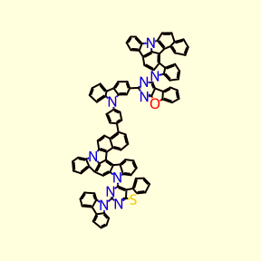 c1ccc2c(c1)ccc1c2c2c3c4ccccc4n(-c4nc(-c5ccc6c7ccccc7n(-c7ccc(-c8cccc9c8ccc8c9c9c%10c%11ccccc%11n(-c%11nc(-n%12c%13ccccc%13c%13ccccc%13%12)nc%12sc%13ccccc%13c%11%12)c%10cc%10c%11ccccc%11n8c%109)cc7)c6c5)nc5oc6ccccc6c45)c3cc3c4ccccc4n1c32